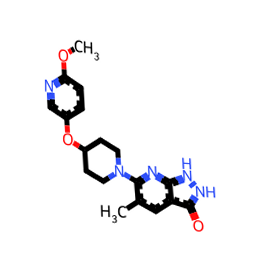 COc1ccc(OC2CCN(c3nc4[nH][nH]c(=O)c4cc3C)CC2)cn1